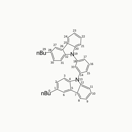 CCCCc1ccc2c(c1)c1ccccc1n2-c1cccc(-n2c3ccccc3c3cc(CCCC)ccc32)c1